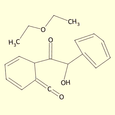 CCOCC.O=C=C1C=CC=CC1C(=O)C(O)c1ccccc1